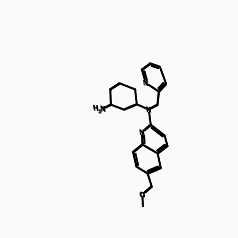 COCc1ccc2nc(N(Cc3ccccn3)C3CCCC(N)C3)ccc2c1